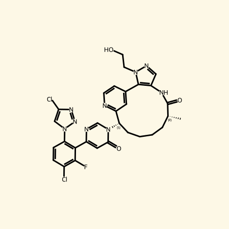 C[C@@H]1CCCC[C@H](n2cnc(-c3c(-n4cc(Cl)nn4)ccc(Cl)c3F)cc2=O)c2cc(ccn2)-c2c(cnn2CCO)NC1=O